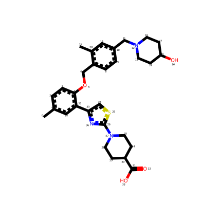 Cc1ccc(OCc2ccc(CN3CCC(O)CC3)cc2C)c(-c2csc(N3CCC(C(=O)O)CC3)n2)c1